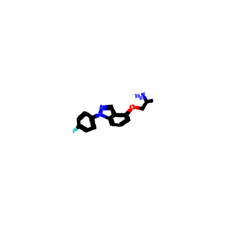 CC(N)COc1cccc2c1cnn2-c1ccc(F)cc1